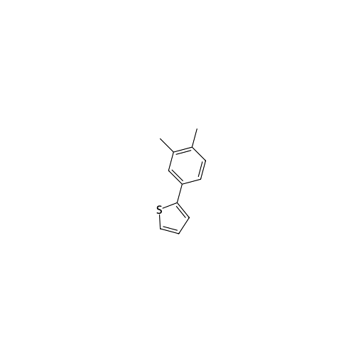 Cc1ccc(-c2cccs2)cc1C